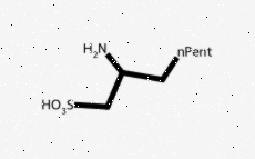 CCCCCCC(N)CS(=O)(=O)O